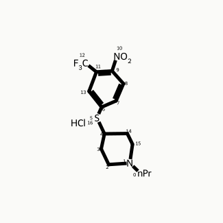 CCCN1CCC(Sc2ccc([N+](=O)[O-])c(C(F)(F)F)c2)CC1.Cl